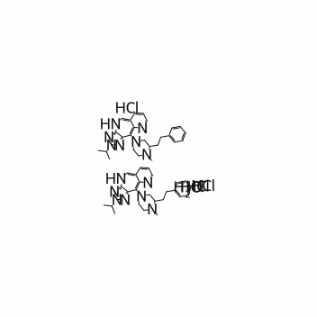 CC(C)n1nc2c(n1)C(N1CCN(C)C(CCc3ccccc3)C1)=c1ncccc1=CN2.CC(C)n1nc2c(n1)C(N1CCN(C)C(CCc3ccccc3)C1)=c1ncccc1=CN2.Cl.Cl.Cl.Cl.O